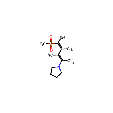 CC(/C(C#N)=C(\C)N1CCCC1)=C(\C#N)S(=O)(=O)C(F)(F)F